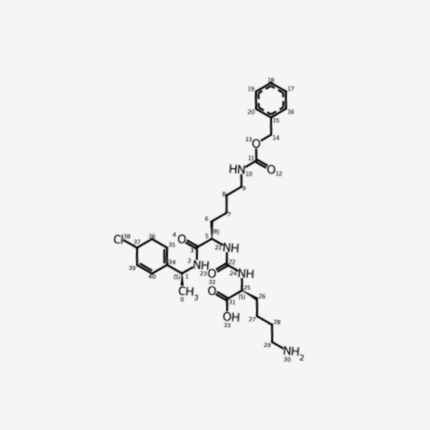 C[C@H](NC(=O)[C@@H](CCCCNC(=O)OCc1ccccc1)NC(=O)N[C@@H](CCCCN)C(=O)O)C1=CCC(Cl)C=C1